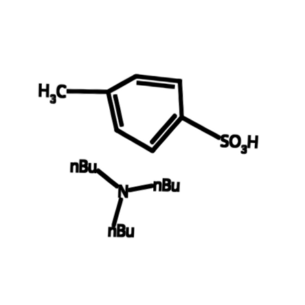 CCCCN(CCCC)CCCC.Cc1ccc(S(=O)(=O)O)cc1